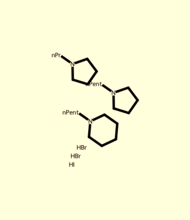 Br.Br.CCCCCN1CCCC1.CCCCCN1CCCCC1.CCCN1CCCC1.I